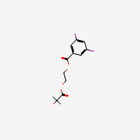 O=C(OCCOC(=O)C(O)(C(F)(F)F)C(F)(F)F)c1cc(I)cc(I)c1